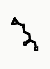 O=C(CCl)CCSC1CC1